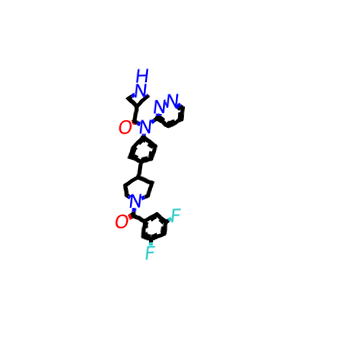 O=C(c1cc(F)cc(F)c1)N1CCC(c2ccc(N(C(=O)C3CNC3)c3cccnn3)cc2)CC1